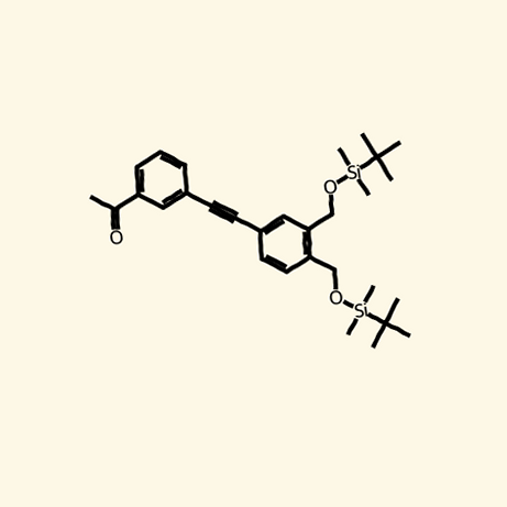 CC(=O)c1cccc(C#Cc2ccc(CO[Si](C)(C)C(C)(C)C)c(CO[Si](C)(C)C(C)(C)C)c2)c1